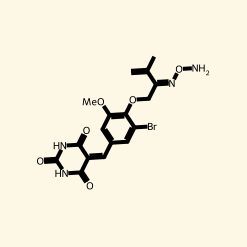 C=C(C)/C(COc1c(Br)cc(C=C2C(=O)NC(=O)NC2=O)cc1OC)=N\ON